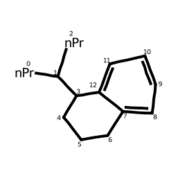 CCCC(CCC)C1CCCc2ccccc21